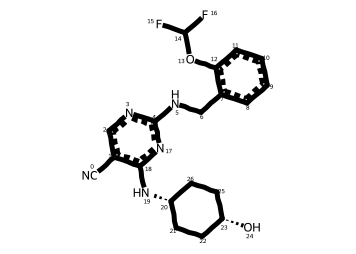 N#Cc1cnc(NCc2ccccc2OC(F)F)nc1N[C@H]1CC[C@@H](O)CC1